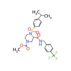 COC(=O)N1CCN(S(=O)(=O)c2ccc(C(C)C)cc2)C(C(=O)NCc2ccc(C(F)(F)F)cc2)C1